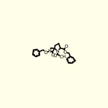 CC(=O)N1C(C(=O)OCc2ccccc2)CCC12CN(OCc1ccccc1)C2=O